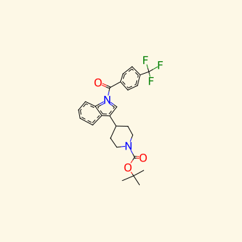 CC(C)(C)OC(=O)N1CCC(c2cn(C(=O)c3ccc(C(F)(F)F)cc3)c3ccccc23)CC1